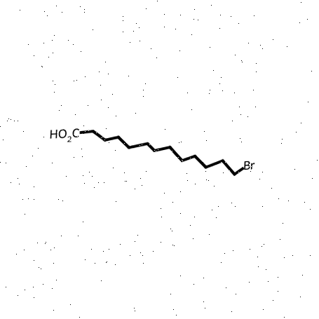 O=C(O)CCCCCCCCCCCCBr